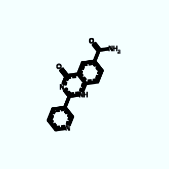 NC(=O)c1ccc2[nH]c(-c3cccnc3)nc(=O)c2c1